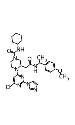 COc1ccc(C(C)NC(=O)CC2CN(C(=O)NC3CCCCC3)CCN2c2cc(Cl)nc(-n3ccnc3)n2)cc1